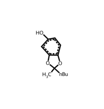 CCCCC1(C)Oc2ccc(O)cc2O1